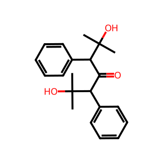 CC(C)(O)C(C(=O)C(c1ccccc1)C(C)(C)O)c1ccccc1